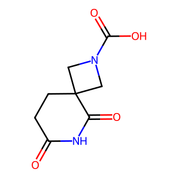 O=C1CCC2(CN(C(=O)O)C2)C(=O)N1